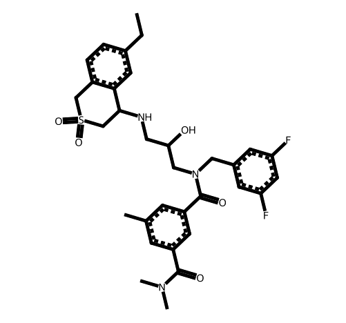 CCc1ccc2c(c1)C(NCC(O)CN(Cc1cc(F)cc(F)c1)C(=O)c1cc(C)cc(C(=O)N(C)C)c1)CS(=O)(=O)C2